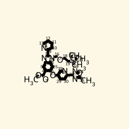 COC(=O)c1cc2nc(-c3ccccn3)n(COCC[Si](C)(C)C)c2cc1Oc1ccc(-c2noc(C)n2)nc1